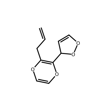 C=CCC1=C(C2C=COO2)OC=CO1